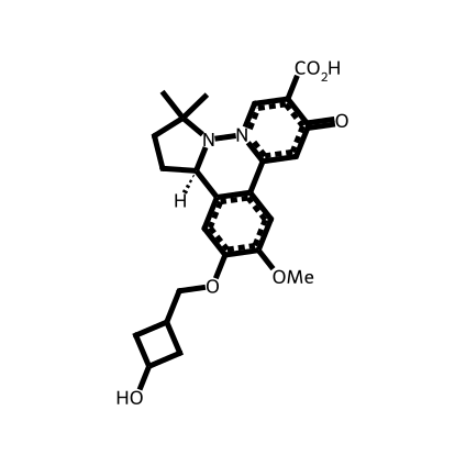 COc1cc2c(cc1OCC1CC(O)C1)[C@H]1CCC(C)(C)N1n1cc(C(=O)O)c(=O)cc1-2